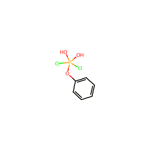 OP(O)(Cl)(Cl)Oc1ccccc1